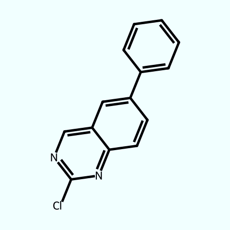 Clc1ncc2cc(-c3ccccc3)ccc2n1